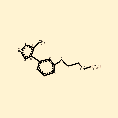 CCOC(=O)NCCOc1c[c]cc(-c2c[nH]nc2C)c1